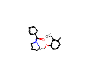 Cc1cccc(OC[C@@H]2CCCN2C(=O)c2ccccc2)c1C=O